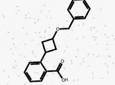 O=C(O)c1ccccc1C1CC(OCc2ccccc2)C1